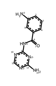 Nc1cccc(C(=O)Nc2ncnc(N)n2)c1